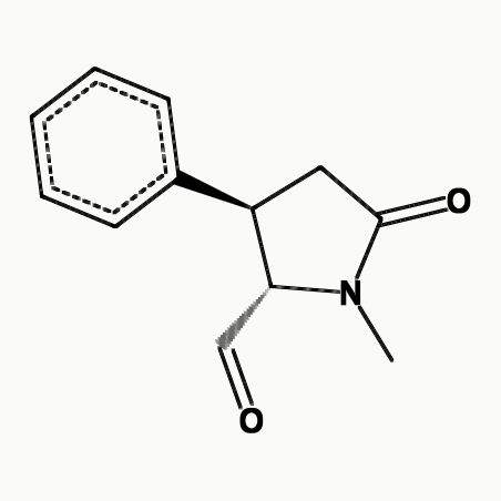 CN1C(=O)C[C@H](c2ccccc2)[C@H]1C=O